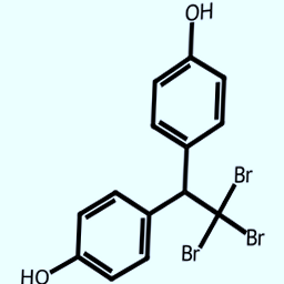 Oc1ccc(C(c2ccc(O)cc2)C(Br)(Br)Br)cc1